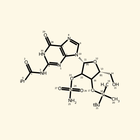 CC(C)C(=O)Nc1nc2c(ncn2[C@@H]2O[C@H](CO)C(O[Si](C)(C)C(C)(C)C)C2OS(N)(=O)=O)c(=O)[nH]1